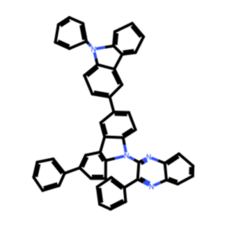 c1ccc(-c2ccc3c(c2)c2cc(-c4ccc5c(c4)c4ccccc4n5-c4ccccc4)ccc2n3-c2nc3ccccc3nc2-c2ccccc2)cc1